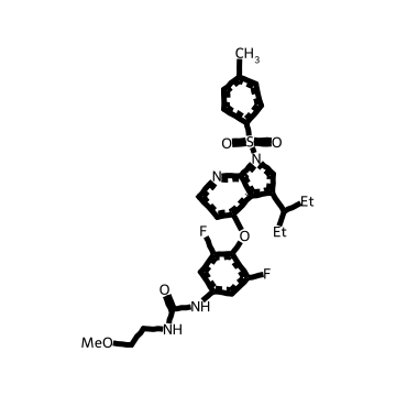 CCC(CC)c1cn(S(=O)(=O)c2ccc(C)cc2)c2nccc(Oc3c(F)cc(NC(=O)NCCOC)cc3F)c12